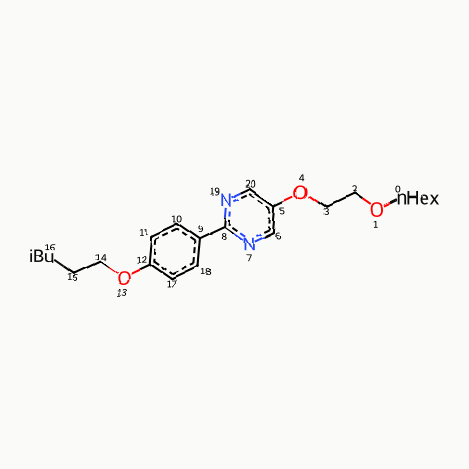 CCCCCCOCCOc1cnc(-c2ccc(OCCC(C)CC)cc2)nc1